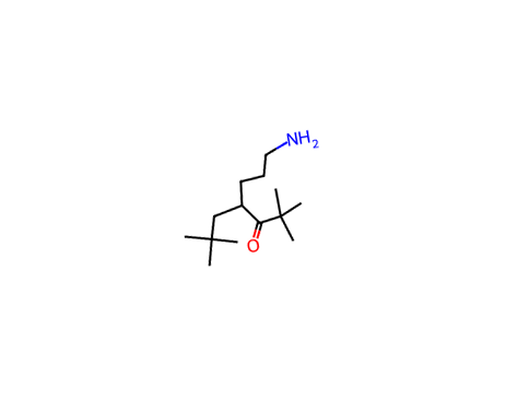 CC(C)(C)CC(CCCN)C(=O)C(C)(C)C